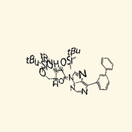 CC(C)(C)[Si](C)(C)O[C@H]1[C@@H]2O[Si](C(C)(C)C)(C(C)(C)C)OC[C@H]2O[C@H]1n1cnc2c(-c3cccc(-c4ccccc4)c3)ncnc21